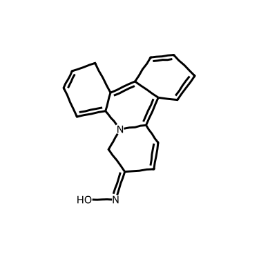 ON=C1C=CC2=c3ccccc3=C3CC=CC=C3N2C1